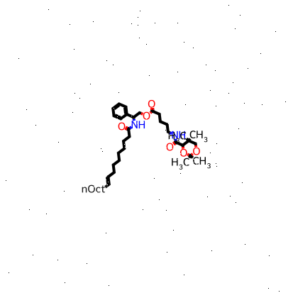 CCCCCCCCC=CCCCCCCCC(=O)NC(COC(=O)CCCCNC(=O)C1OC(C)(C)OCC1(C)C)c1ccccc1